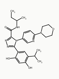 CCC(C)NC(=O)c1nnc(-c2cc(C(C)C)c(O)cc2O)n1-c1ccc(N2CCOCC2)nc1